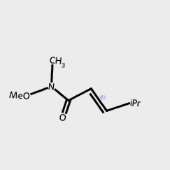 CON(C)C(=O)/C=C/C(C)C